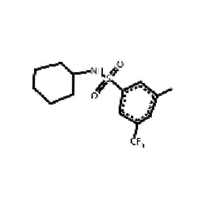 Cc1cc(C(F)(F)F)cc(S(=O)(=O)NC2CCCCC2)c1